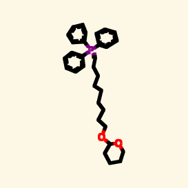 C(CCCCCCCCOC1CCCCO1)=P(c1ccccc1)(c1ccccc1)c1ccccc1